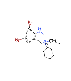 C[N@+]1(C2CCCCC2)CNc2c(Br)cc(Br)cc2C1